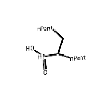 CCCCCCC(CCCCC)[PH](=O)O